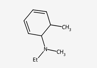 CCN(C)C1C=CC=CC1C